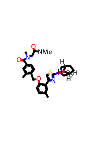 CNC(=O)CN(C)C(=O)c1ccc(COc2ccc(C)cc2-c2csc(N3C[C@H]4CC[C@@H](C3)[C@H]4C(=O)O)n2)c(C)c1